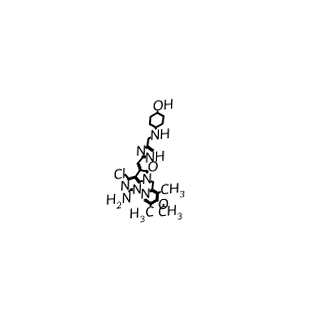 COc1c(C)cnc(CN2C(=O)/C(=C\c3nc(CNC4CCC(O)CC4)c[nH]3)c3c(Cl)nc(N)nc32)c1C